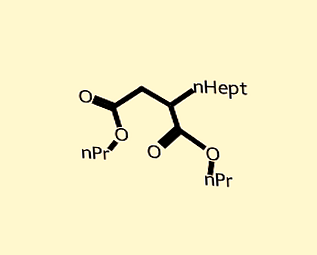 CCCCCCCC(CC(=O)OCCC)C(=O)OCCC